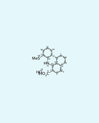 CCOC(=O)c1cnc2ccccc2c1Nc1ccccc1SC.Cl